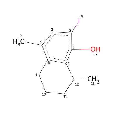 Cc1cc(I)c(O)c2c1CCCC2C